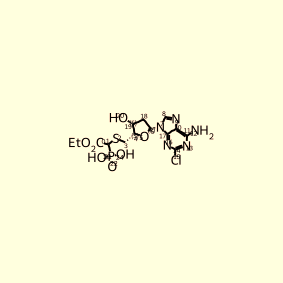 CCOC(=O)C(SC[C@H]1O[C@@H](n2cnc3c(N)nc(Cl)nc32)C[C@@H]1O)P(=O)(O)O